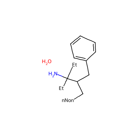 CCCCCCCCCCC(Cc1ccccc1)C(N)(CC)CC.O